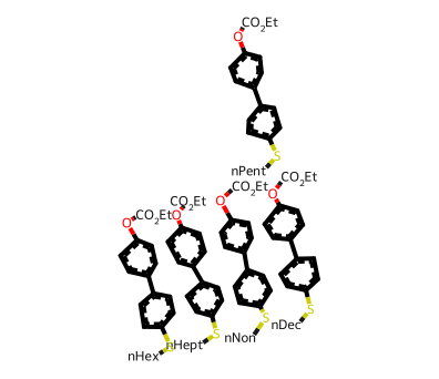 CCCCCCCCCCSc1ccc(-c2ccc(OC(=O)OCC)cc2)cc1.CCCCCCCCCSc1ccc(-c2ccc(OC(=O)OCC)cc2)cc1.CCCCCCCSc1ccc(-c2ccc(OC(=O)OCC)cc2)cc1.CCCCCCSc1ccc(-c2ccc(OC(=O)OCC)cc2)cc1.CCCCCSc1ccc(-c2ccc(OC(=O)OCC)cc2)cc1